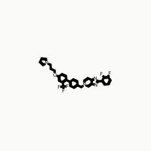 Fc1cccc(-c2nc3ccn(Cc4ccc(-c5ccc(OCCCn6cccc6)cc5C(F)(F)F)cc4)cc-3n2)c1F